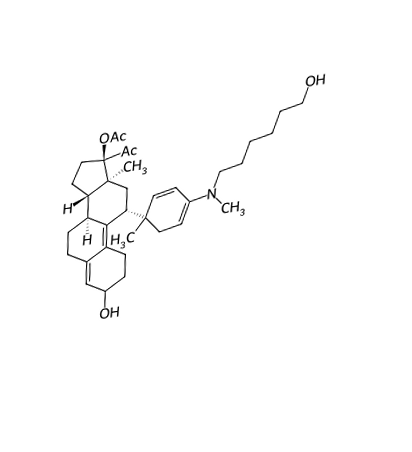 CC(=O)O[C@]1(C(C)=O)CC[C@H]2[C@@H]3CCC4=CC(O)CCC4=C3[C@@H](C3(C)C=CC(N(C)CCCCCCO)=CC3)C[C@@]21C